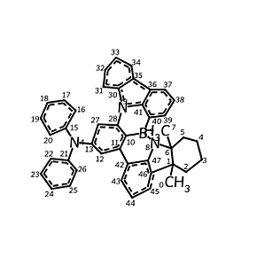 CC12CCCCC1(C)N1B3c4c(cc(N(c5ccccc5)c5ccccc5)cc4-n4c5ccccc5c5cccc3c54)-c3cccc2c31